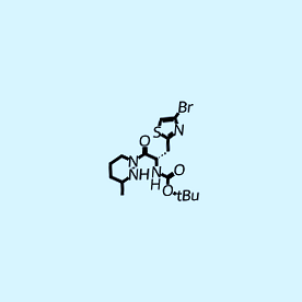 CC1CCCN(C(=O)[C@H](Cc2nc(Br)cs2)NC(=O)OC(C)(C)C)N1